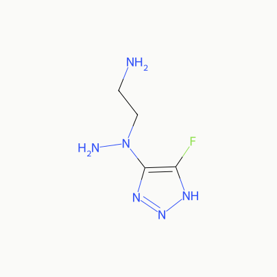 NCCN(N)c1nn[nH]c1F